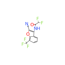 N#Cc1oc2c(C(F)(F)F)cccc2c1NC(=O)C(F)F